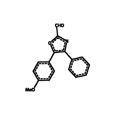 COc1ccc(-c2oc(C=O)nc2-c2ccccc2)cc1